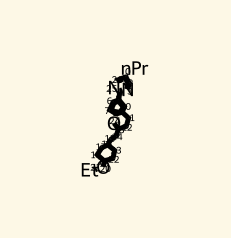 CCCc1cnc(-c2ccc3c(c2)CCC(CCC2CCC(OCC)CC2)O3)nc1